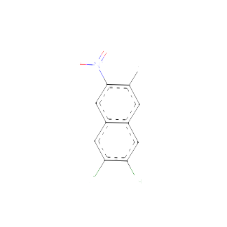 Cc1cc2cc(Br)c(Cl)cc2cc1[N+](=O)[O-]